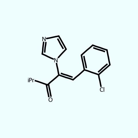 CC(C)C(=O)C(=Cc1ccccc1Cl)n1ccnc1